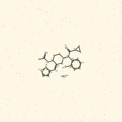 CC(=O)SC1CCN(C(C(=O)C2CC2)c2ccccc2F)C/C1=C/c1ccon1.Cl